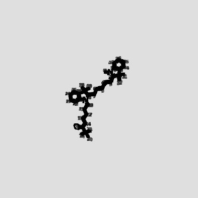 C[N+]1=C(/C=C/C=C/C=C2/N(CCCCCC(=O)C(C)(C)C)c3ccccc3C2(C)C)C(C)(C)c2ccccc21